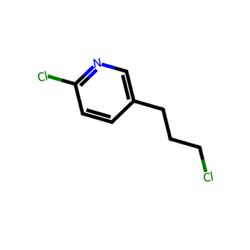 ClCCCc1ccc(Cl)nc1